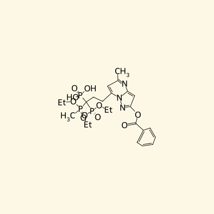 CCOP(C)(=O)C(CCc1cc(C)nc2cc(OC(=O)c3ccccc3)nn12)(P(=O)(O)O)P(=O)(OCC)OCC